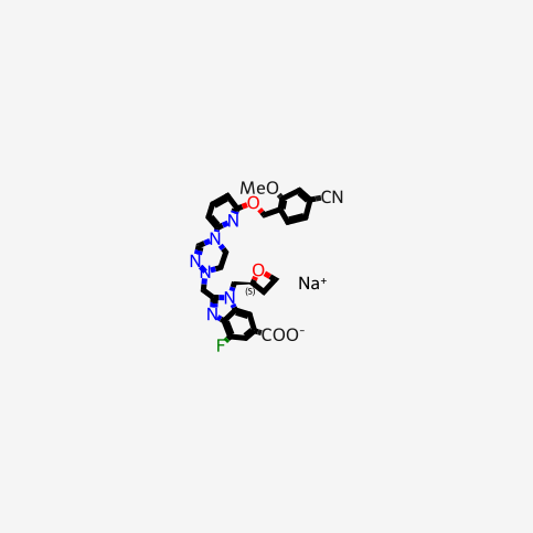 COc1cc(C#N)ccc1COc1cccc(N2C=NN(Cc3nc4c(F)cc(C(=O)[O-])cc4n3C[C@@H]3CCO3)CC2)n1.[Na+]